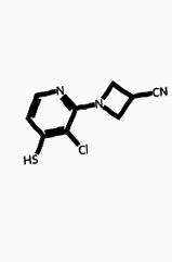 N#CC1CN(c2nccc(S)c2Cl)C1